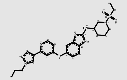 CCCn1cc(-c2cc(Oc3ccc4nc(NC5CCCN(S(=O)(=O)CC)C5)sc4c3)ccn2)cn1